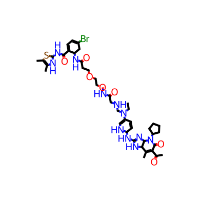 CCN(CNCC(=O)NOCCOCCC(=O)NC1CC(Br)=CC=C1C(=O)NC1NC(C)=C(C)S1)C1=CNC(NC2=NC3C(N2)C(C)=C(C(C)=O)C(=O)N3C2CCCC2)C=C1